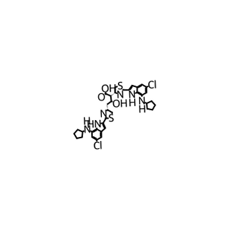 O=C(O)C(C(O)C[C@@H]1CSC(c2cc3cc(Cl)cc(NC4CCCC4)c3[nH]2)=N1)[C@@H]1CSC(c2cc3cc(Cl)cc(NC4CCCC4)c3[nH]2)=N1